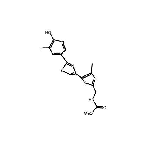 COC(=O)NCc1nc(C)c(-c2csc(-c3cnc(O)c(F)c3)n2)s1